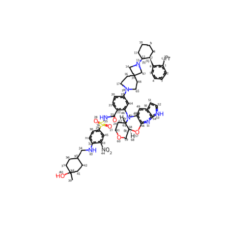 CC(C)c1ccccc1[C@@H]1CCCC[C@@H]1N1CC2(CCN(c3ccc(C(=O)NS(=O)(=O)c4ccc(NCC5CCC(C)(O)CC5)c([N+](=O)[O-])c4)c(N4c5cc6cc[nH]c6nc5O[C@H]5COCC[C@@H]54)c3)CC2)C1